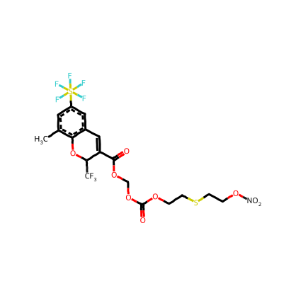 Cc1cc(S(F)(F)(F)(F)F)cc2c1OC(C(F)(F)F)C(C(=O)OCOC(=O)OCCSCCO[N+](=O)[O-])=C2